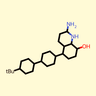 CC(C)(C)C1CCC(C2CCC(C3CCC(O)C4NC(N)CCC34)CC2)CC1